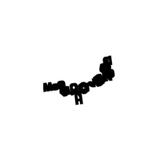 CO[C@@H]1CC[C@@H](CC(=O)N[C@H]2CC[C@H](CCN3CCN(c4noc5cc(Cl)ccc45)CC3)CC2)C1